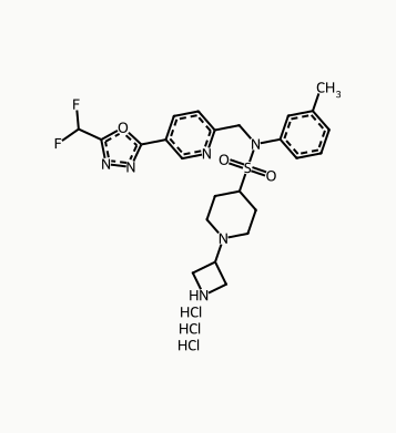 Cc1cccc(N(Cc2ccc(-c3nnc(C(F)F)o3)cn2)S(=O)(=O)C2CCN(C3CNC3)CC2)c1.Cl.Cl.Cl